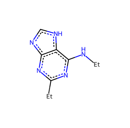 CCNc1nc(CC)nc2nc[nH]c12